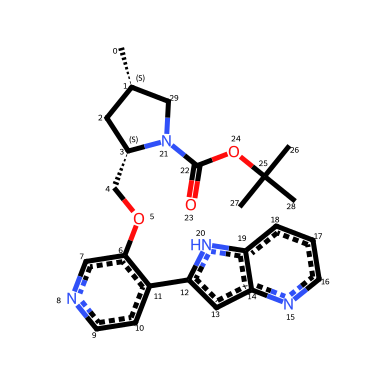 C[C@H]1C[C@@H](COc2cnccc2-c2cc3ncccc3[nH]2)N(C(=O)OC(C)(C)C)C1